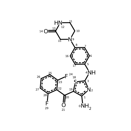 Nc1nc(Nc2ccc(N3CCNC(=O)C3)cc2)sc1C(=O)c1c(F)cccc1F